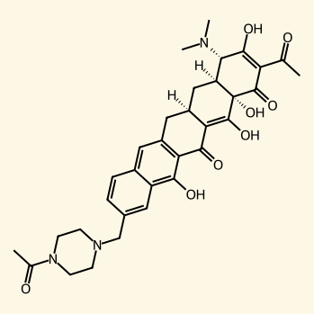 CC(=O)C1=C(O)[C@@H](N(C)C)[C@@H]2C[C@@H]3Cc4cc5ccc(CN6CCN(C(C)=O)CC6)cc5c(O)c4C(=O)C3=C(O)[C@]2(O)C1=O